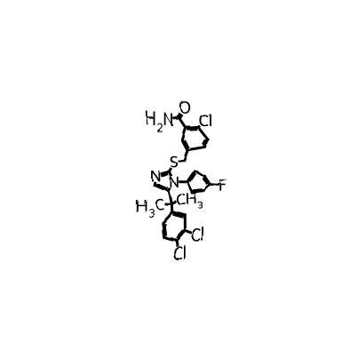 CC(C)(c1ccc(Cl)c(Cl)c1)c1cnc(SCc2ccc(Cl)c(C(N)=O)c2)n1-c1ccc(F)cc1